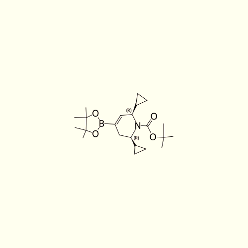 CC(C)(C)OC(=O)N1[C@@H](C2CC2)CC(B2OC(C)(C)C(C)(C)O2)=C[C@H]1C1CC1